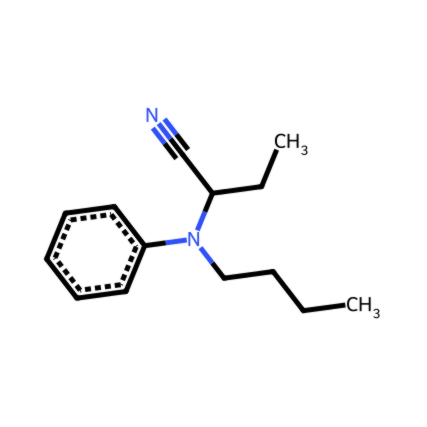 CCCCN(c1ccccc1)C(C#N)CC